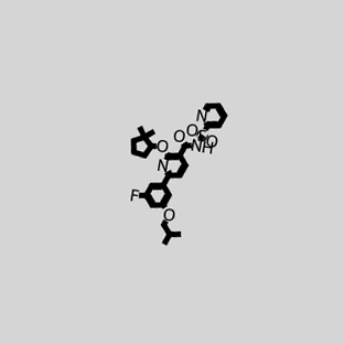 CC(C)COc1cc(F)cc(-c2ccc(C(=O)NS(=O)(=O)c3ccccn3)c(OC3CCCC3(C)C)n2)c1